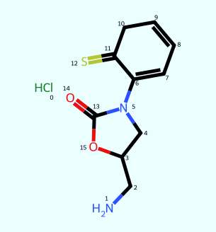 Cl.NCC1CN(C2=CC=CCC2=S)C(=O)O1